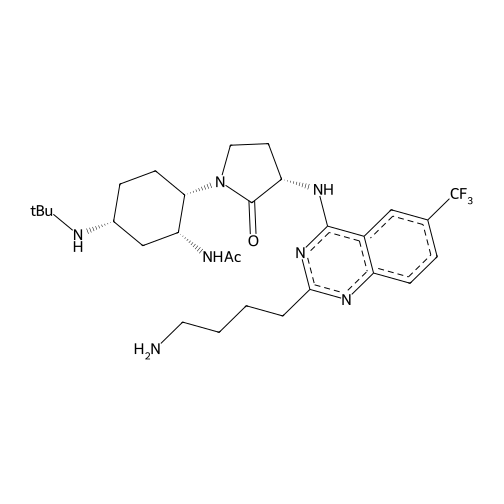 CC(=O)N[C@@H]1C[C@H](NC(C)(C)C)CC[C@@H]1N1CC[C@H](Nc2nc(CCCCN)nc3ccc(C(F)(F)F)cc23)C1=O